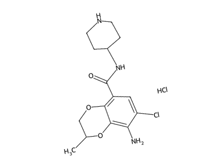 CC1COc2c(C(=O)NC3CCNCC3)cc(Cl)c(N)c2O1.Cl